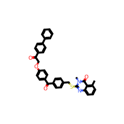 Cc1cccc2nc(SCc3ccc(C(=O)c4ccc(OCC(=O)c5ccc(-c6ccccc6)cc5)cc4)cc3)n(C)c(=O)c12